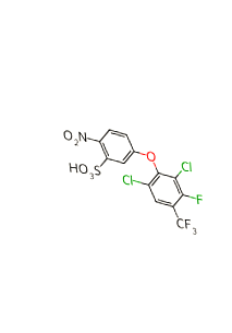 O=[N+]([O-])c1ccc(Oc2c(Cl)cc(C(F)(F)F)c(F)c2Cl)cc1S(=O)(=O)O